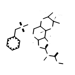 CO[C@@]1(C)O[C@@H]2[C@H]3N=C(N(C)C(=O)OC(C)(C)C)S[C@H]3O[C@H](CS(=O)(=O)Cc3ccccc3)[C@H]2O[C@]1(C)OC